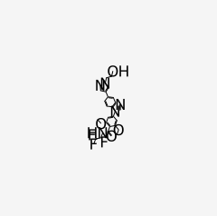 COc1cc(-n2cnc3cc(-c4cnn(CCO)c4)ccc32)cc(OC)c1C(=O)NC(F)C(F)F